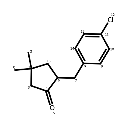 CC1(C)CC(=O)C(Cc2ccc(Cl)cc2)C1